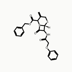 C=C1CS[C@@H]2C(NC(=O)COc3ccccc3)C(=O)N2C1C(=O)OCc1ccccc1